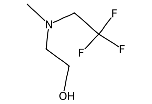 CN(CCO)CC(F)(F)F